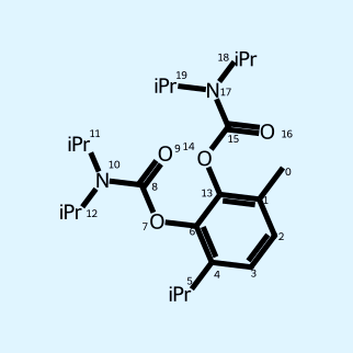 Cc1ccc(C(C)C)c(OC(=O)N(C(C)C)C(C)C)c1OC(=O)N(C(C)C)C(C)C